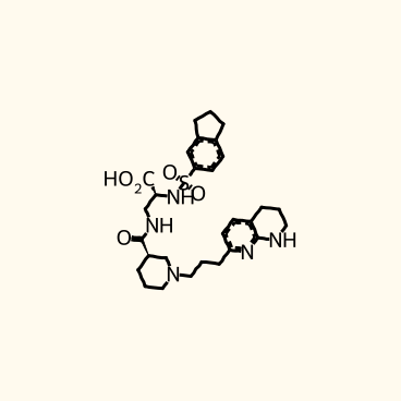 O=C(NC[C@H](NS(=O)(=O)c1ccc2c(c1)CCC2)C(=O)O)[C@@H]1CCCN(CCCc2ccc3c(n2)NCCC3)C1